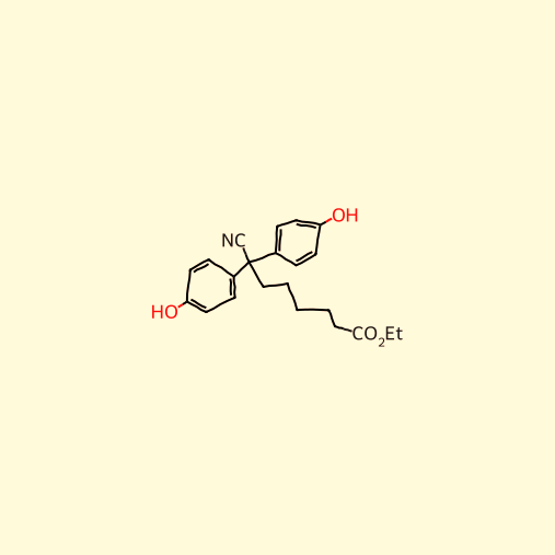 CCOC(=O)CCCCCC(C#N)(c1ccc(O)cc1)c1ccc(O)cc1